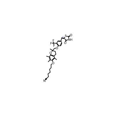 Cc1c(C)c2c(c(C)c1OCCCCCCC#N)CCC(C)(COc1ccc(/C=C3/SC(=O)NC3=O)cc1C(F)(F)F)O2